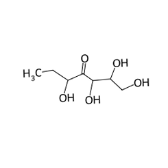 CCC(O)C(=O)C(O)C(O)CO